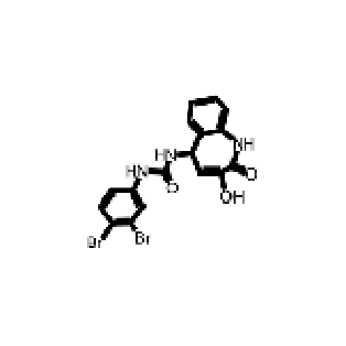 O=C(Nc1ccc(Br)c(Br)c1)NC1C=C(O)C(=O)Nc2ccccc21